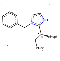 CCCCCCCCCCC[C@H](CCCCCCC)c1[nH]cc[n+]1Cc1ccccc1